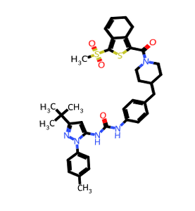 Cc1ccc(-n2nc(C(C)(C)C)cc2NC(=O)Nc2ccc(CC3CCN(C(=O)c4sc(S(C)(=O)=O)c5c4CCC=C5)CC3)cc2)cc1